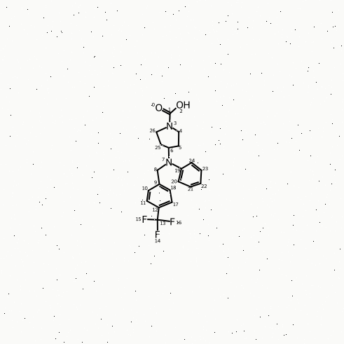 O=C(O)N1CCC(N(Cc2ccc(C(F)(F)F)cc2)c2ccccc2)CC1